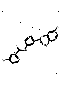 CC(Oc1cc(Cl)cnc1N)c1cccc(NC(=O)c2cc(C(F)(F)F)ccn2)c1